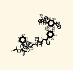 CCOC(=O)[C@@H](C)OP(=O)(CCNC(=O)CCC(=O)c1cccc(Oc2cc(N=O)ccc2NS(C)(=O)=O)c1)Oc1ccccc1